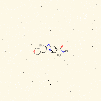 CCN(C)C(=O)c1ccn2c(CC3CCOCC3)c(C(C)(C)C)nc2c1